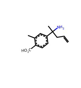 C=CCC(C)(N)c1ccc(C(=O)O)c(C)c1